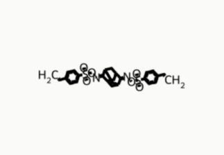 C=Cc1ccc(S(=O)(=O)ON=C2C3CC4CC2CC(C3)C4=NOS(=O)(=O)c2ccc(C=C)cc2)cc1